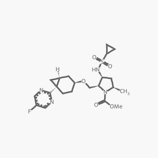 COC(=O)N1[C@H](C)C[C@H](NS(=O)(=O)C2CC2)[C@@H]1CO[C@H]1CC[C@@]2(c3ncc(F)cn3)C[C@H]2C1